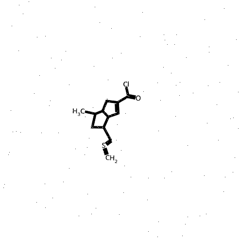 C=S=CC1CC(C)C2CC(C(=O)Cl)=CC12